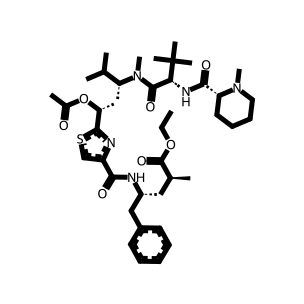 CCOC(=O)[C@@H](C)C[C@H](Cc1ccccc1)NC(=O)c1csc([C@@H](C[C@H](C(C)C)N(C)C(=O)[C@@H](NC(=O)[C@H]2CCCCN2C)C(C)(C)C)OC(C)=O)n1